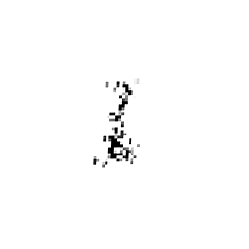 C=C(C)C(=O)OCCNC(=O)OCNC(=O)C(C=C(C)C)=C(C)C